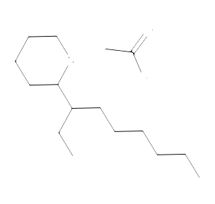 CC(=O)O.CCCCCCC(CC)C1CCCCN1